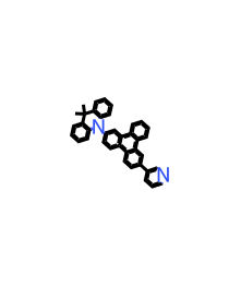 CC1(C)c2ccccc2N(c2ccc3c4ccc(-c5cccnc5)cc4c4ccccc4c3c2)c2ccccc21